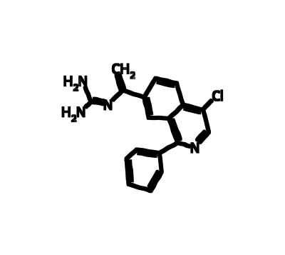 C=C(N=C(N)N)c1ccc2c(Cl)cnc(-c3ccccc3)c2c1